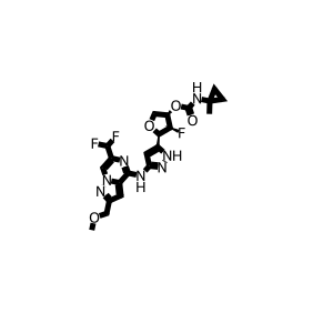 COCc1cc2c(Nc3cc([C@H]4OC[C@@H](OC(=O)NC5(C)CC5)[C@H]4F)[nH]n3)nc(C(F)F)cn2n1